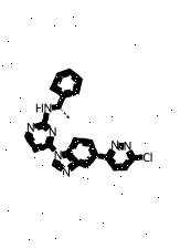 C[C@H](Nc1nccc(-n2cnc3cc(-c4ccc(Cl)nn4)ccc32)n1)c1ccccc1